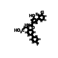 O=C(O)CC(NC(=O)c1cc(O)n(-c2cccc(Cl)c2F)n1)c1ccc(-c2ccc(F)cc2)cc1